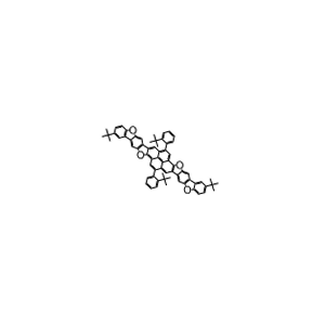 CC(C)(C)c1ccc2oc3cc4c(cc3c2c1)oc1c4cc2c(-c3ccccc3C(C)(C)C)cc3c4oc5cc6c(cc5c4cc4c(-c5ccccc5C(C)(C)C)cc1c2c43)oc1ccc(C(C)(C)C)cc16